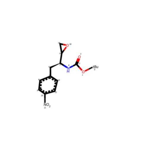 CC(C)(C)OC(=O)N[C@@H](Cc1ccc([N+](=O)[O-])cc1)C1CO1